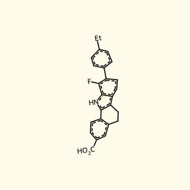 CCc1ccc(-c2ccc3c4c([nH]c3c2F)-c2ccc(C(=O)O)cc2CC4)cc1